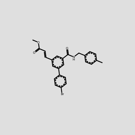 COC(=O)/C=C/c1cc(C(=O)NCc2ccc(C)cc2)cc(-c2ccc(Br)cc2)c1